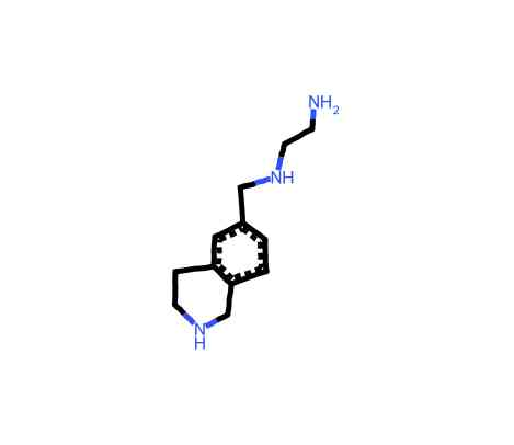 NCCNCc1ccc2c(c1)CCNC2